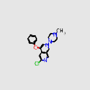 CN1CCN(N2C=C(Oc3ccccc3)c3cc(Cl)ncc3C2)CC1